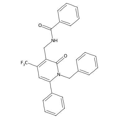 O=C(NCc1c(C(F)(F)F)cc(-c2ccccc2)n(Cc2ccccc2)c1=O)c1ccccc1